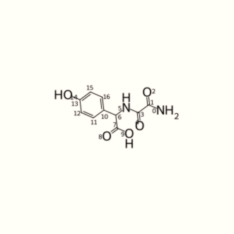 NC(=O)C(=O)NC(C(=O)O)c1ccc(O)cc1